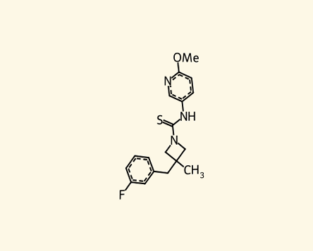 COc1ccc(NC(=S)N2CC(C)(Cc3cccc(F)c3)C2)cn1